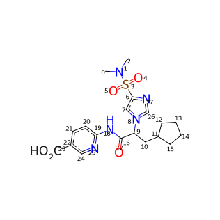 CN(C)S(=O)(=O)c1cn(C(CC2CCCC2)C(=O)Nc2ccc(C(=O)O)cn2)cn1